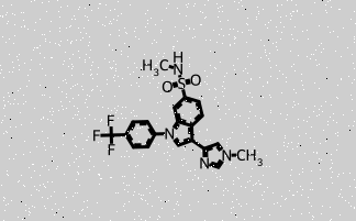 CNS(=O)(=O)c1ccc2c(-c3cn(C)cn3)cn(-c3ccc(C(F)(F)F)cc3)c2c1